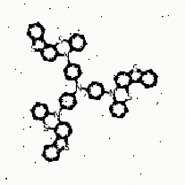 c1ccc2c(c1)Sc1c(ccc3sc4ccccc4c13)N2c1ccc(N(c2ccc(N3c4ccccc4Sc4c3ccc3sc5ccccc5c43)cc2)c2ccc(N3c4ccccc4Sc4c3ccc3sc5ccccc5c43)cc2)cc1